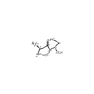 CC(C)C[C@@H](C(=O)O)N(C)C(=O)[C@H](C)N